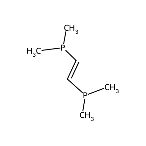 CP(C)C=CP(C)C